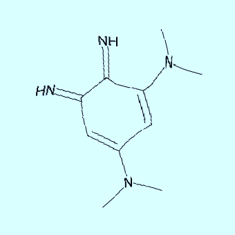 CN(C)C1=CC(=N)C(=N)C(N(C)C)=C1